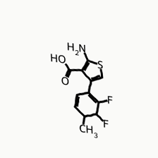 CC1C=CC(c2csc(N)c2C(=O)O)=C(F)C1F